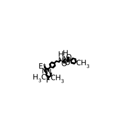 CCc1nc2c(C)c(F)c(C)cn2c1-c1ccc(CCNC(=O)NS(=O)(=O)c2ccc(C)cc2)cc1